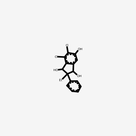 CCC1(c2ccccc2)C(O)c2cc(O)c(Cl)c(Cl)c2C1O